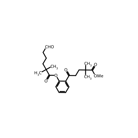 COC(=O)C(C)(C)CCC(=O)c1ccccc1OC(=O)C(C)(C)CCCC=O